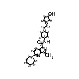 Cn1nc(C(=O)NC2CCN(CCN3CC[C@@H](O)C3)CC2)c2ccc(N3CCCCCC3)nc21